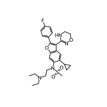 CCN(CC)CCN(c1cc2oc(-c3ccc(F)cc3)c(C3=NOCCN3)c2cc1C1CC1)S(C)(=O)=O